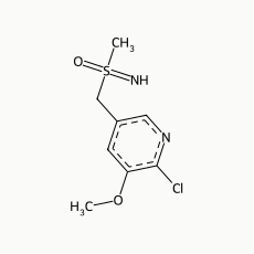 COc1cc(CS(C)(=N)=O)cnc1Cl